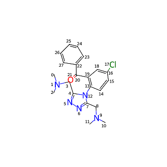 CN(C)Cc1nnc(CN(C)C)n1-c1ccc(Cl)cc1C(=O)c1ccccc1